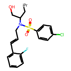 CC(C)CC(CO)N(C/C=C/c1ccccc1F)S(=O)(=O)c1ccc(Cl)cc1